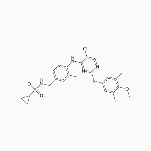 COc1c(C)cc(Nc2ncc(Cl)c(Nc3ccc(CNS(=O)(=O)C4CC4)cc3C)n2)cc1C